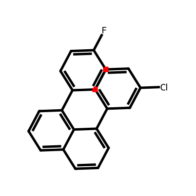 Fc1ccc(-c2cccc3cccc(-c4cccc(Cl)c4)c23)cc1